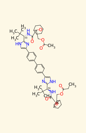 CCC(=O)OCC1(C(=O)N[C@H](c2nc(-c3ccc(-c4ccc(-c5c[nH]c([C@@H](NC(=O)C6(COC(C)=O)OC7CCC6CC7)C(C)(C)C)n5)cc4)cc3)c[nH]2)C(C)(C)C)OC2CCC1CC2